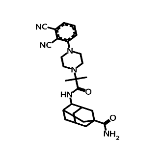 CC(C)(C(=O)NC1C2CC3CC1CC(C(N)=O)(C3)C2)N1CCN(c2cccc(C#N)c2C#N)CC1